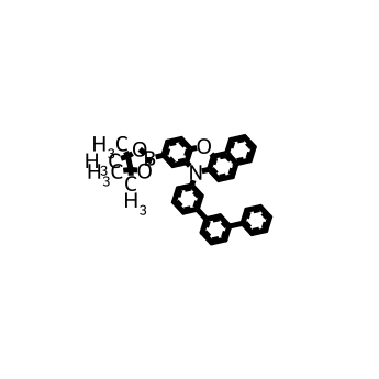 CC1(C)OB(c2ccc3c(c2)N(c2cccc(-c4cccc(-c5ccccc5)c4)c2)c2ccc4ccccc4c2O3)OC1(C)C